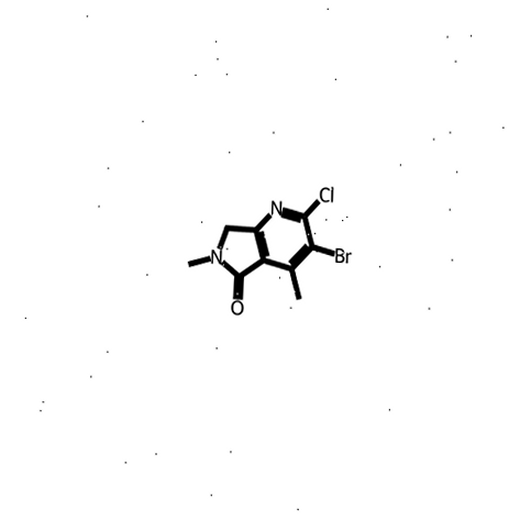 Cc1c(Br)c(Cl)nc2c1C(=O)N(C)C2